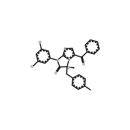 Cc1ccc(C[C@]2(C)C(=O)N(c3cc(Cl)cc(Cl)c3)c3ncc(C(=O)c4ccccc4)n32)cc1